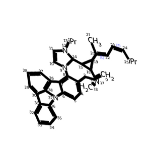 C=CCc1ccc2c(c1N1C=CN(C(C)C)C1C1C(N=C)C1/C(C)=C/C=C\C(C)C)c1cccc3c4ccccc4n2c31